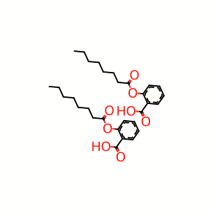 CCCCCCCC(=O)Oc1ccccc1C(=O)O.CCCCCCCC(=O)Oc1ccccc1C(=O)O